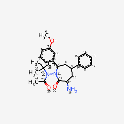 COc1cccc(C2CC(c3ccccc3)CC(N)C(=O)N2N(C(C)=O)C(C)(C)C)c1